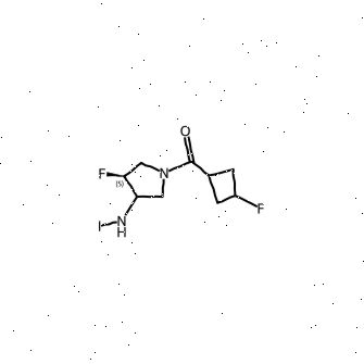 O=C(C1CC(F)C1)N1CC(NI)[C@@H](F)C1